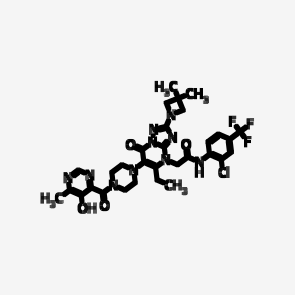 CCc1c(N2CCN(C(=O)c3ncnc(C)c3O)CC2)c(=O)n2nc(N3CC(C)(C)C3)nc2n1CC(=O)Nc1ccc(C(F)(F)F)cc1Cl